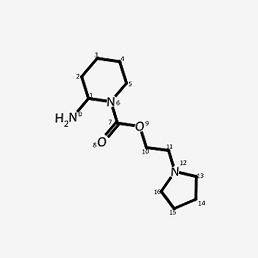 NC1CCCCN1C(=O)OCCN1CCCC1